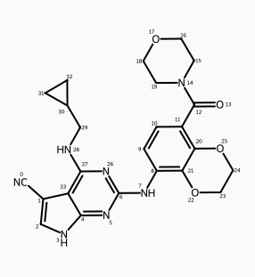 N#Cc1c[nH]c2nc(Nc3ccc(C(=O)N4CCOCC4)c4c3OCCO4)nc(NCC3CC3)c12